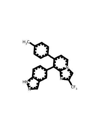 Cc1ccc(-c2ccn3cc(C(F)(F)F)nc3c2-c2ccc3[nH]ncc3c2)cc1